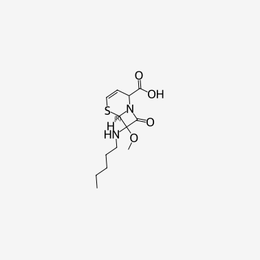 CCCCCNC1(OC)C(=O)N2C(C(=O)O)C=CS[C@@H]21